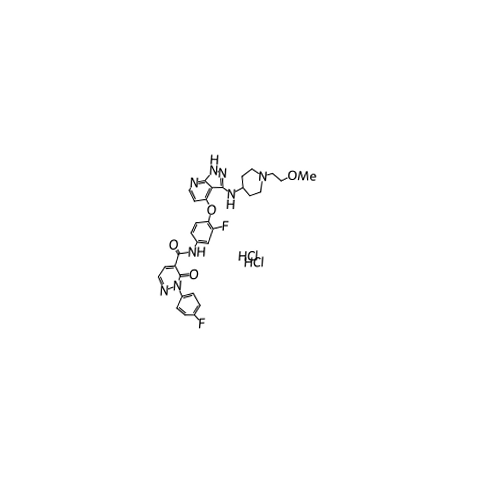 COCCN1CCC(Nc2n[nH]c3nccc(Oc4ccc(NC(=O)c5ccnn(-c6ccc(F)cc6)c5=O)cc4F)c23)CC1.Cl.Cl